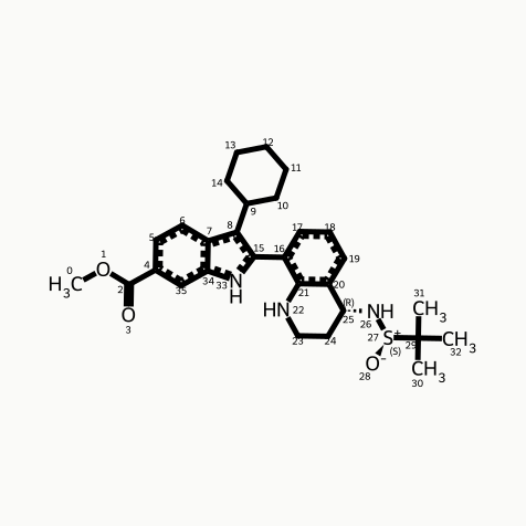 COC(=O)c1ccc2c(C3CCCCC3)c(-c3cccc4c3NCC[C@H]4N[S@+]([O-])C(C)(C)C)[nH]c2c1